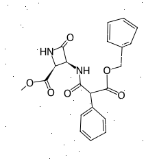 COC(=O)[C@H]1NC(=O)[C@H]1NC(=O)C(C(=O)OCc1ccccc1)c1ccccc1